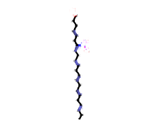 CC/C=C/C/C=C/C/C=C/C/C=C/C/C=C(/C/C=C/CC[C]=O)[N+](=O)[O-]